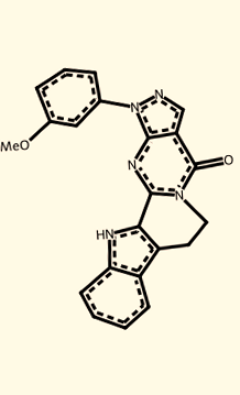 COc1cccc(-n2ncc3c(=O)n4c(nc32)-c2[nH]c3ccccc3c2CC4)c1